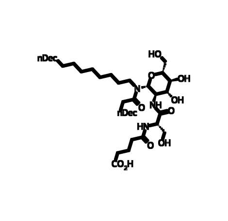 CCCCCCCCCCCCCCCCCCN(C(=O)CCCCCCCCCCC)[C@@H]1O[C@H](CO)[C@@H](O)[C@H](O)[C@H]1NC(=O)[C@H](CO)NC(=O)CCCC(=O)O